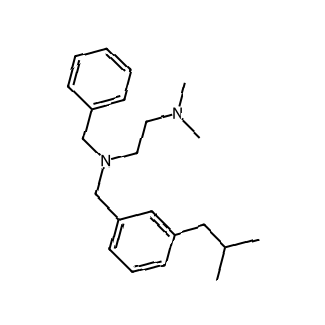 CC(C)Cc1cccc(CN(CCN(C)C)Cc2ccccc2)c1